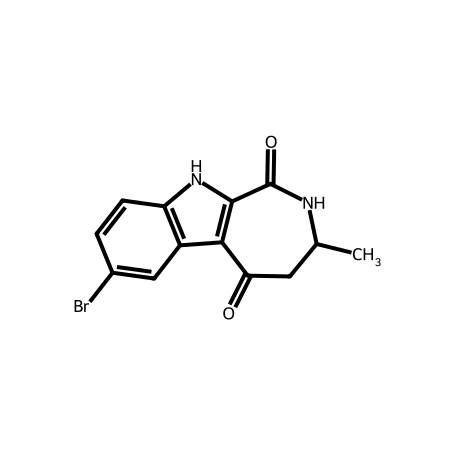 CC1CC(=O)c2c([nH]c3ccc(Br)cc23)C(=O)N1